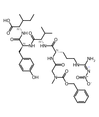 CCC(C)[C@H](NC(=O)[C@H](Cc1ccc(O)cc1)NC(=O)[C@@H](NC(=O)[C@H](CCCN/C(N)=N\[N+](=O)[O-])NC(=O)CN(C)C(=O)OCc1ccccc1)C(C)C)C(=O)O